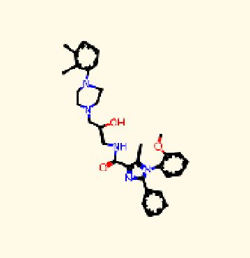 COc1ccccc1-n1c(-c2ccccc2)nc(C(=O)NCC(O)CN2CCN(c3cccc(C)c3C)CC2)c1C